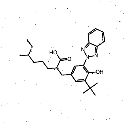 CCC(C)CCCC(Cc1cc(-n2nc3ccccc3n2)c(O)c(C(C)(C)C)c1)C(=O)O